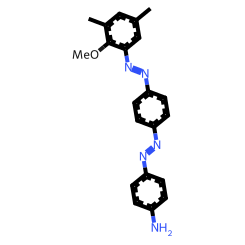 COc1c(C)cc(C)cc1N=Nc1ccc(N=Nc2ccc(N)cc2)cc1